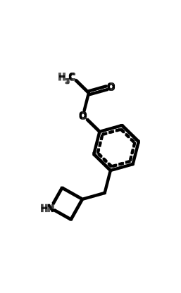 CC(=O)Oc1cccc(CC2CNC2)c1